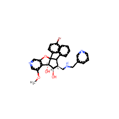 COc1cncc2c1[C@]1(O)[C@H](O)[C@H](CNCc3cccnc3)C(c3ccccc3)C1(c1ccc(Br)cc1)O2